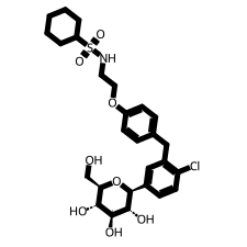 O=S(=O)(NCCOc1ccc(Cc2cc([C@@H]3O[C@H](CO)[C@@H](O)[C@H](O)[C@H]3O)ccc2Cl)cc1)C1CCCCC1